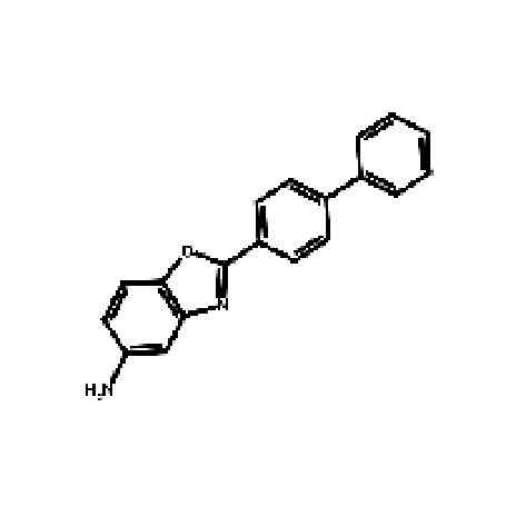 Nc1ccc2oc(-c3ccc(-c4ccccc4)cc3)nc2c1